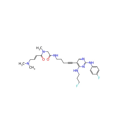 CN(C)CC=CC(=O)N(C)CC(=O)NCCCC#Cc1cnc(Nc2ccc(F)cc2)nc1NCCCF